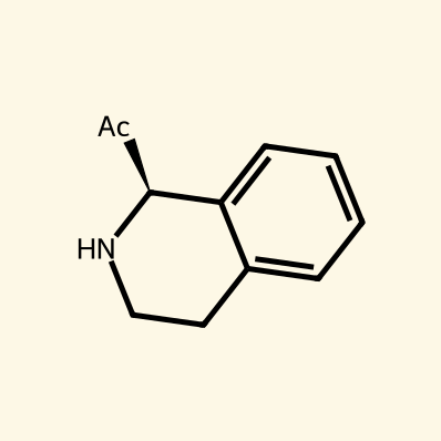 CC(=O)[C@@H]1NCCc2ccccc21